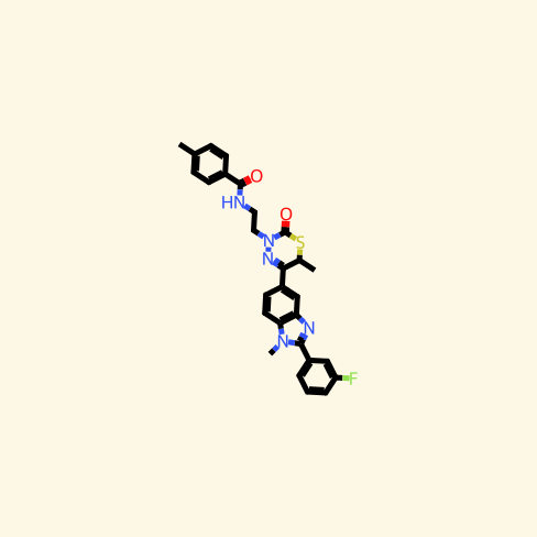 Cc1ccc(C(=O)NCCN2N=C(c3ccc4c(c3)nc(-c3cccc(F)c3)n4C)C(C)SC2=O)cc1